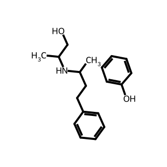 CC(CO)NC(C)CCc1ccccc1.Oc1ccccc1